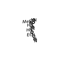 CCc1cc(Nc2nccc(Nc3ccc4nccnc4c3N(C)SC)n2)ccc1N1CCC(N2CCN(C)CC2)CC1